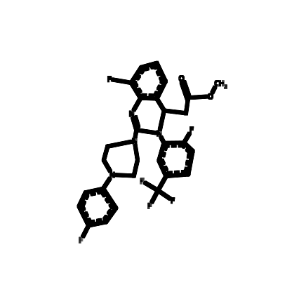 COC(=O)CC1c2cccc(F)c2N=C(N2CCN(c3ccc(F)cc3)CC2)N1c1cc(C(F)(F)F)ccc1F